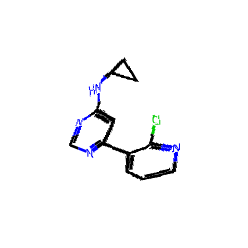 Clc1ncccc1-c1cc(NC2CC2)ncn1